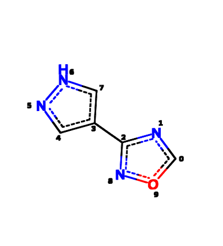 c1nc(-c2cn[nH]c2)no1